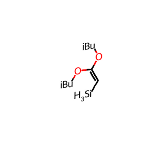 CCC(C)OC(=C[SiH3])OC(C)CC